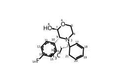 CC[C@]1(N2CCO[C@H](O)[C@H]2c2ccc(F)cc2)C=CC=CC1